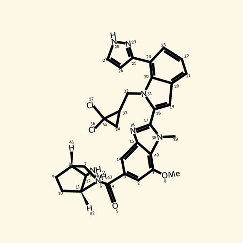 COc1cc(C(=O)N2C[C@H]3CC[C@@H]2[C@@H]3N)cc2nc(-c3cc4cccc(-c5cc[nH]n5)c4n3CC3CC3(Cl)Cl)n(C)c12